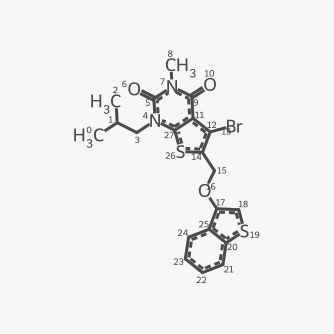 CC(C)Cn1c(=O)n(C)c(=O)c2c(Br)c(COc3csc4ccccc34)sc21